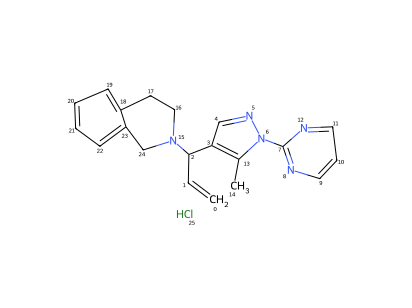 C=CC(c1cnn(-c2ncccn2)c1C)N1CCc2ccccc2C1.Cl